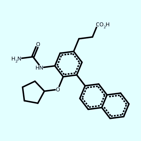 NC(=O)Nc1cc(CCC(=O)O)cc(-c2ccc3ccccc3c2)c1OC1CCCC1